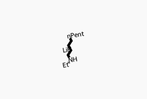 CCCCCCCCCNCC.[LiH]